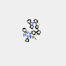 CN1C(c2ccccc2)NC(c2ccccc2)=NC1C1C=c2sc3cccc(-c4ccc5c(c4)sc4cccc(-n6c7ccccc7c7ccccc76)c45)c3c2=CC1